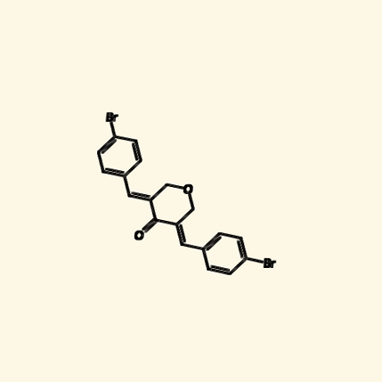 O=C1/C(=C/c2ccc(Br)cc2)COC/C1=C\c1ccc(Br)cc1